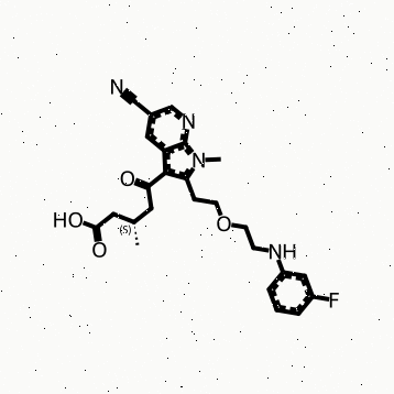 C[C@H](CC(=O)O)CC(=O)c1c(CCOCCNc2cccc(F)c2)n(C)c2ncc(C#N)cc12